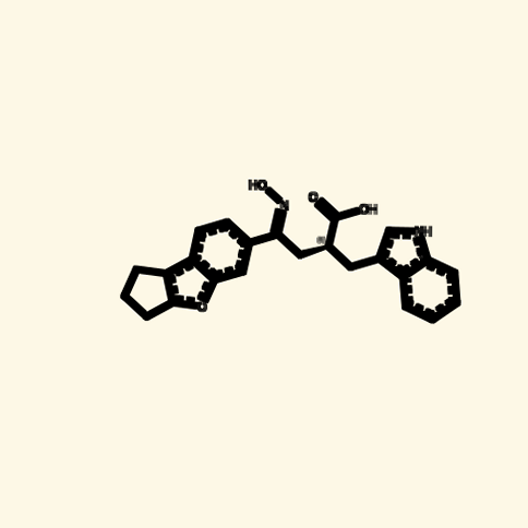 O=C(O)[C@H](CC(=NO)c1ccc2c3c(oc2c1)CCC3)Cc1c[nH]c2ccccc12